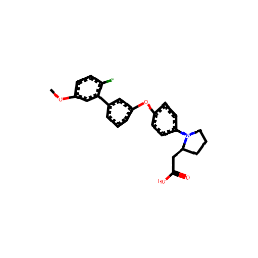 COc1ccc(F)c(-c2cccc(Oc3ccc(N4CCCC4CC(=O)O)cc3)c2)c1